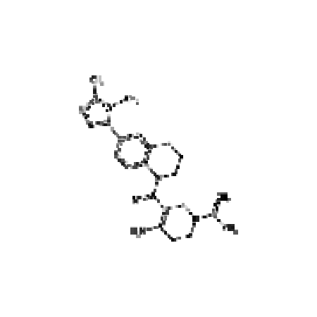 C=C(C)N1CCC(N)=C(C(=N)N2CCCc3cc(-c4cnn(C)c4C)ccc32)C1